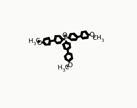 COc1ccc(-c2ccc(P(=O)(c3ccc(-c4ccc(OC)cc4)cc3)c3ccc(-c4ccc(OC)cc4)cc3)cc2)cc1